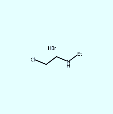 Br.CCNCCCl